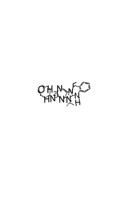 C=C(/N=C1\C(=C/N)N=C(Nc2ccccc2F)N1C(C)C)NC1CCOCC1